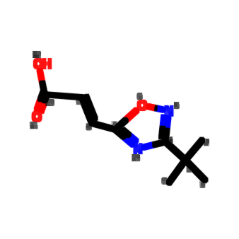 CC(C)(C)c1noc(C=CC(=O)O)n1